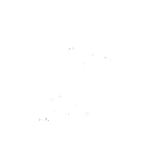 COc1cc(CC(C)(C)OC(N)=O)ccc1O